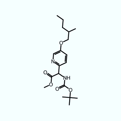 CCCC(C)COc1ccc(C(NC(=O)OC(C)(C)C)C(=O)OC)nc1